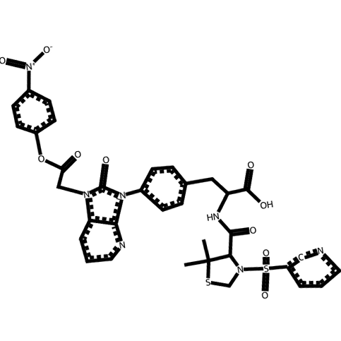 CC1(C)SCN(S(=O)(=O)c2cccnc2)C1C(=O)NC(Cc1ccc(-n2c(=O)n(CC(=O)Oc3ccc([N+](=O)[O-])cc3)c3cccnc32)cc1)C(=O)O